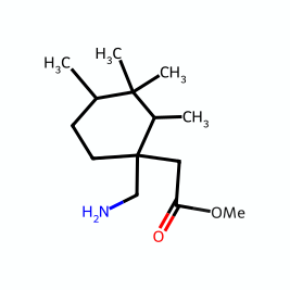 COC(=O)CC1(CN)CCC(C)C(C)(C)C1C